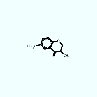 CC1COc2ccc(C(=O)O)cc2C1=O